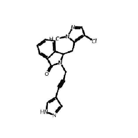 Cn1ncc(Cl)c1CC1c2ccccc2C(=O)N1CC#Cc1cn[nH]c1